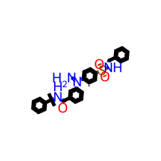 CC(C)(NC(=O)c1cccc(N(N)c2[c]cc(S(=O)(=O)NCc3ccccc3)cc2)c1)c1ccccc1